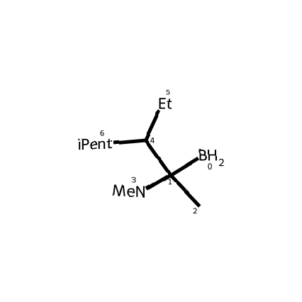 BC(C)(NC)C(CC)C(C)CCC